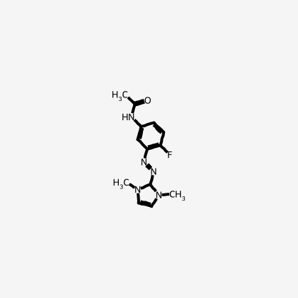 CC(=O)Nc1ccc(F)c(/N=N/C2N(C)C=CN2C)c1